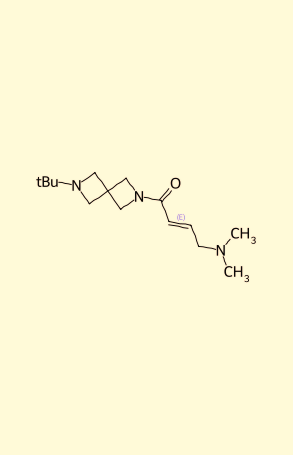 CN(C)C/C=C/C(=O)N1CC2(C1)CN(C(C)(C)C)C2